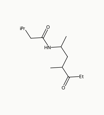 CCC(=O)C(C)CC(C)NC(=O)CC(C)C